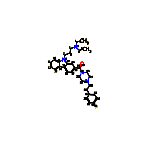 CCN(CC)CCCn1c2ccccc2c2ccc(C(=O)N3CCN(CCc4ccc(F)cc4)CC3)cc21